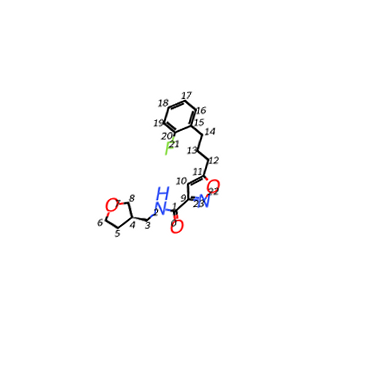 O=C(NC[C@H]1CCOC1)c1cc(CCCc2ccccc2F)on1